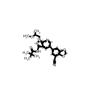 COC(C)Cn1nc(NC(=O)C(C)(C)C)c2cc(-c3cc(C#N)c4c(c3)OCO4)cnc21